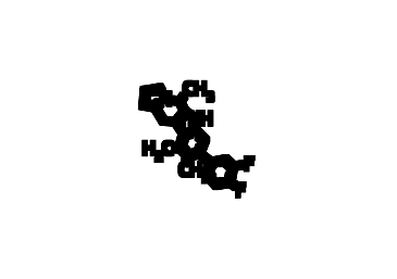 C=c1c(-c2ccc(F)c(F)c2)cc2[nH]c3c(c2c1=C)Cc1cccn1C3C